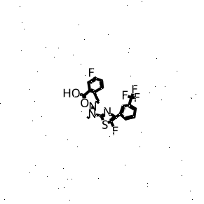 CN(/N=C/c1ccc(F)cc1C(=O)O)c1nc(-c2cccc(C(F)(F)F)c2)c(F)s1